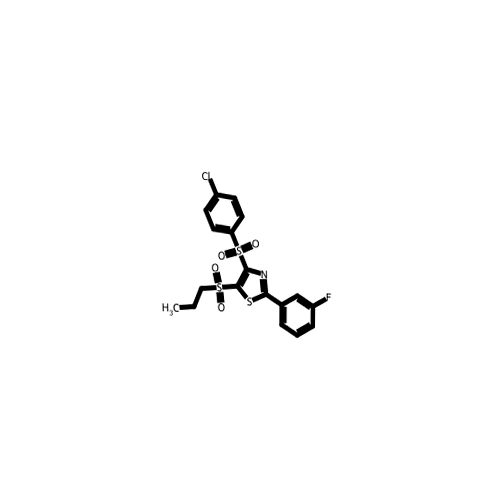 CCCS(=O)(=O)c1sc(-c2cccc(F)c2)nc1S(=O)(=O)c1ccc(Cl)cc1